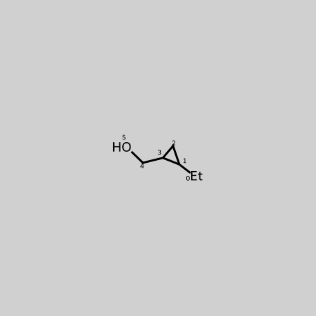 CCC1CC1CO